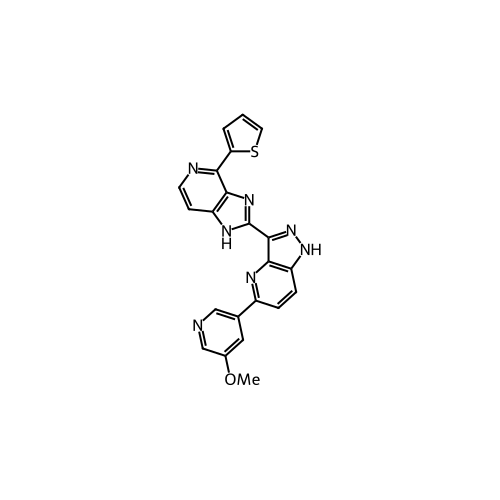 COc1cncc(-c2ccc3[nH]nc(-c4nc5c(-c6cccs6)nccc5[nH]4)c3n2)c1